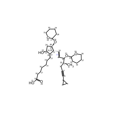 C[C@@H](CC#CC1CC1)C(/C=C/[C@@H]1[C@@H](CCCCCCC(=O)O)[C@@H](O)C[C@H]1OC1CCCCO1)OC1CCCCO1